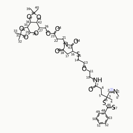 C/N=C\C(C)(CCC(=O)NCCOCCSC1CC(=O)N(CCC(=O)OCC2OC3OC(C)(C)OC3C3OC(C)(C)OC23)C1=O)SC(=S)c1ccccc1